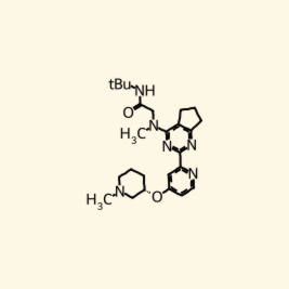 CN1CCC[C@H](Oc2ccnc(-c3nc4c(c(N(C)CC(=O)NC(C)(C)C)n3)CCC4)c2)C1